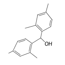 Cc1ccc(C(O)c2ccc(C)cc2C)c(C)c1